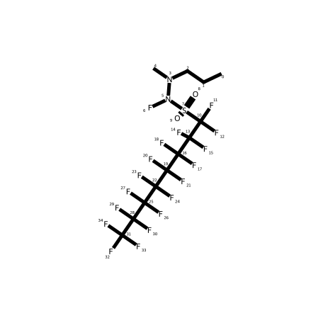 CCCN(C)N(F)S(=O)(=O)C(F)(F)C(F)(F)C(F)(F)C(F)(F)C(F)(F)C(F)(F)C(F)(F)C(F)(F)F